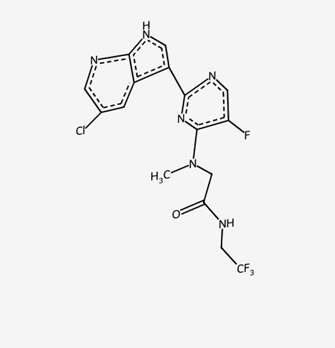 CN(CC(=O)NCC(F)(F)F)c1nc(-c2c[nH]c3ncc(Cl)cc23)ncc1F